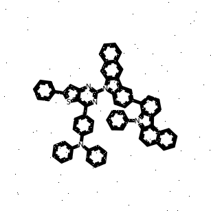 c1ccc(-c2cc3nc(-n4c5ccc(-c6cccc7c8c9ccccc9ccc8n(-c8ccccc8)c67)cc5c5cc6ccccc6cc54)nc(-c4ccc(N(c5ccccc5)c5ccccc5)cc4)c3s2)cc1